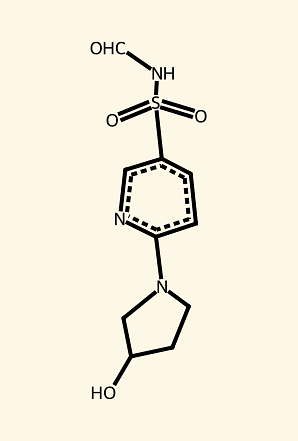 O=CNS(=O)(=O)c1ccc(N2CCC(O)C2)nc1